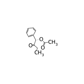 CCC(=O)[C@@H](OC(C)=O)c1ccccc1